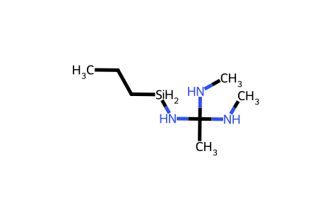 CCC[SiH2]NC(C)(NC)NC